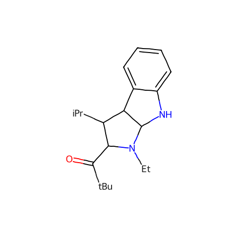 CCN1C2Nc3ccccc3C2C(C(C)C)C1C(=O)C(C)(C)C